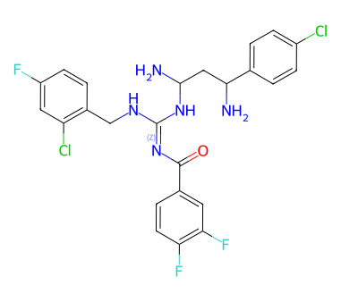 NC(CC(N)c1ccc(Cl)cc1)N/C(=N\C(=O)c1ccc(F)c(F)c1)NCc1ccc(F)cc1Cl